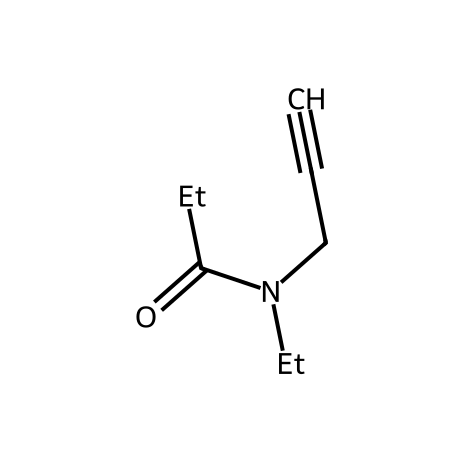 C#CCN(CC)C(=O)CC